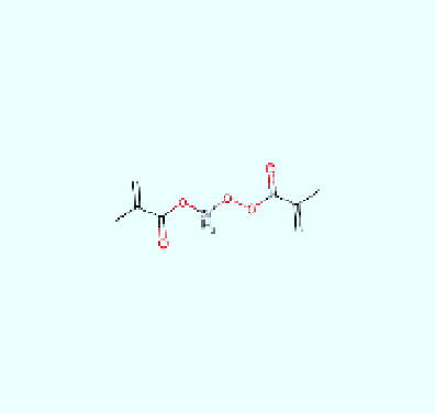 C=C(C)C(=O)OO[SiH2]OC(=O)C(=C)C